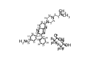 CN(C)CCN1CCN(c2ccc3nc(-c4ccc(CN)cc4)c(-c4ccccc4)nc3n2)CC1.O=C(O)C(F)(F)F.O=C(O)C(F)(F)F